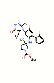 CC1C(=O)NN=C2COc3cc(-c4ccccc4F)c(NC4(C)CCN(C(=O)OC(C)(C)C)C4)cc3N21